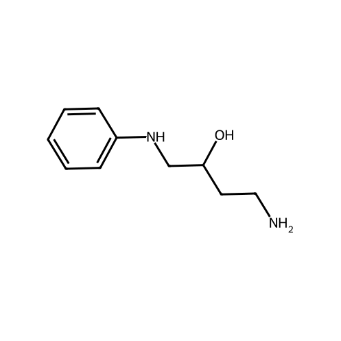 NCCC(O)CNc1ccccc1